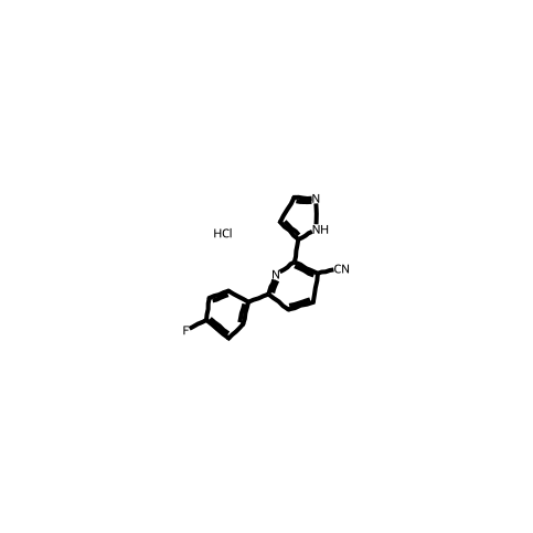 Cl.N#Cc1ccc(-c2ccc(F)cc2)nc1-c1ccn[nH]1